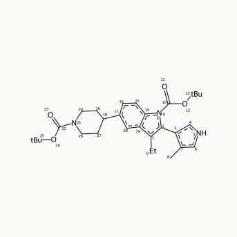 CCc1c(-c2c[nH]cc2C)n(C(=O)OC(C)(C)C)c2ccc(C3CCN(C(=O)OC(C)(C)C)CC3)cc12